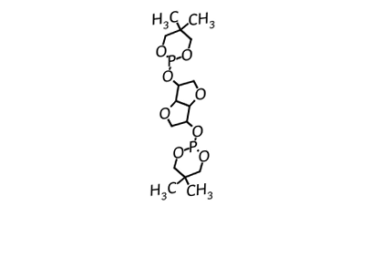 CC1(C)COP(OC2COC3C(OP4OCC(C)(C)CO4)COC23)OC1